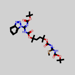 CS/C(=N\C(=O)OC(C)(C)CCC(C)(C)OC(=O)N/C(=N/C(=O)OC(C)(C)C)n1nnc2ccccc21)NC(=O)OC(C)(C)C